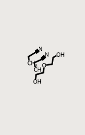 CCC#N.CCC#N.OCCOCCO